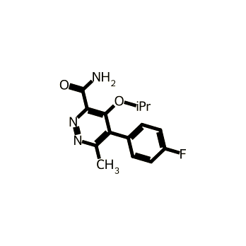 Cc1nnc(C(N)=O)c(OC(C)C)c1-c1ccc(F)cc1